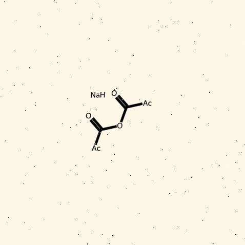 CC(=O)C(=O)OC(=O)C(C)=O.[NaH]